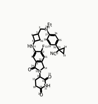 CCN(CC1CC(Nc2cc3c(cc2F)CN(C2CCC(=O)NC2=O)C3=O)C1)c1ccc(C2(C#N)CC2)cc1